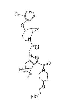 C[C@H]1C2c3c(C(=O)N4CCC(OCCO)CC4)nn(CC(=O)N4CCC(Oc5ccccc5Cl)C5CC54)c3C[C@H]21